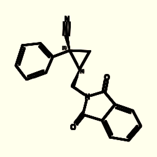 N#C[C@@]1(c2ccccc2)C[C@H]1CN1C(=O)c2ccccc2C1=O